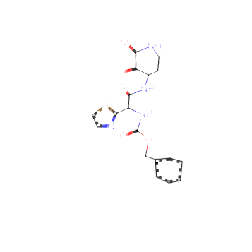 O=C(NC(C(=O)NC1CCNC(=O)C1=O)c1nccs1)OCc1ccccc1